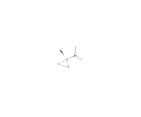 COC(=O)[C@@]1(C)C[C@H]1C